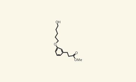 COC(=O)CCc1cccc(OCCCCCO)c1